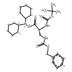 CC(C)(C)OC(=O)N[C@@H](CNC(=O)OCc1ccccc1)C(=O)ON(C1CCCCC1)C1CCCCC1